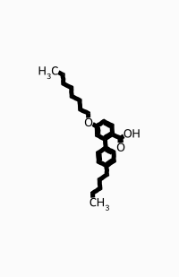 CCCCCCCCOc1ccc(C(=O)O)c(-c2ccc(CCCCC)cc2)c1